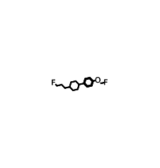 FCCCC1CCC(c2ccc(OCF)cc2)CC1